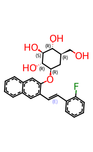 OC[C@H]1C[C@@H](Oc2cc3ccccc3cc2/C=C/c2ccccc2F)[C@H](O)[C@@H](O)[C@@H]1O